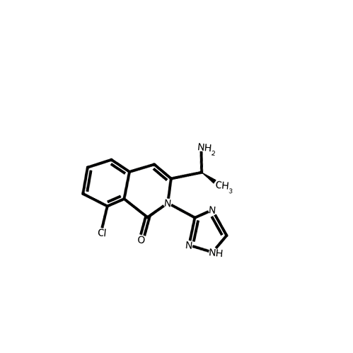 C[C@H](N)c1cc2cccc(Cl)c2c(=O)n1-c1nc[nH]n1